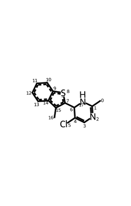 CC1=NC=C(Cl)C(c2sc3ccccc3c2C)N1